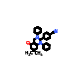 CC1(C)CC(=O)C2=C(C1)N(c1ccccc1)C(c1ccc(C#N)cc1)N(c1ccccc1)C2